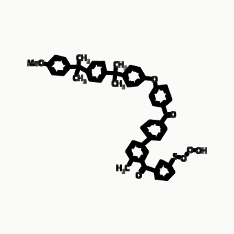 COc1ccc(C(C)(C)c2ccc(C(C)(C)c3ccc(Oc4ccc(C(=O)c5ccc(-c6ccc(C)c(C(=O)c7cccc(SOOO)c7)c6)cc5)cc4)cc3)cc2)cc1